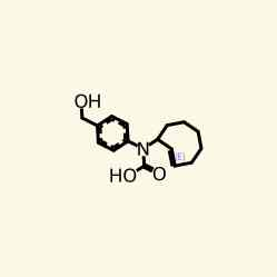 O=C(O)N(c1ccc(CO)cc1)C1/C=C/CCCCC1